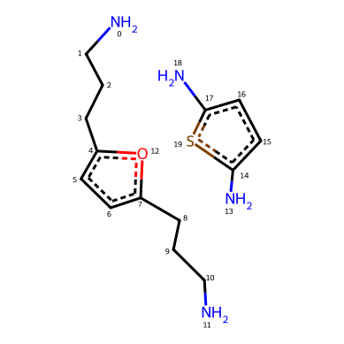 NCCCc1ccc(CCCN)o1.Nc1ccc(N)s1